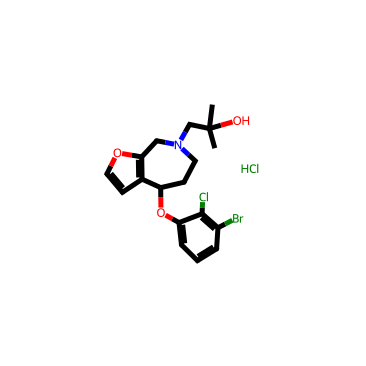 CC(C)(O)CN1CCC(Oc2cccc(Br)c2Cl)c2ccoc2C1.Cl